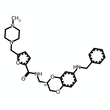 CN1CCN(Cc2ccc(C(=O)NC[C@@H]3COc4ccc(NCc5ccccc5)cc4O3)o2)CC1